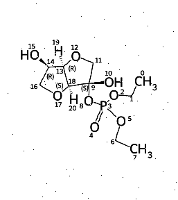 CCOP(=O)(OCC)O[C@@]1(O)CO[C@@H]2[C@H](O)CO[C@@H]21